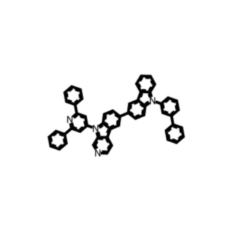 c1ccc(-c2cccc(-n3c4ccccc4c4cc(-c5ccc6c(c5)c5ccncc5n6-c5cc(-c6ccccc6)nc(-c6ccccc6)c5)ccc43)c2)cc1